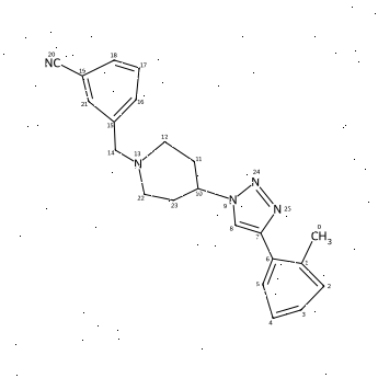 Cc1ccccc1-c1cn(C2CCN(Cc3cccc(C#N)c3)CC2)nn1